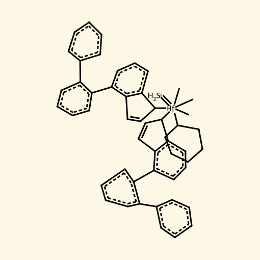 [CH3][Hf]([CH3])([CH3])(=[SiH2])([CH]1CCCCC1)([CH]1C=Cc2c(-c3ccccc3-c3ccccc3)cccc21)[CH]1C=Cc2c(-c3ccccc3-c3ccccc3)cccc21